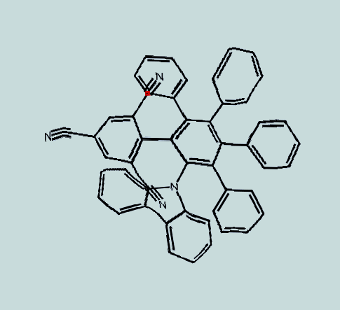 N#Cc1cc(C#N)c(-c2c(-c3ccccc3)c(-c3ccccc3)c(-c3ccccc3)c(-c3ccccc3)c2-n2c3ccccc3c3ccccc32)c(C#N)c1